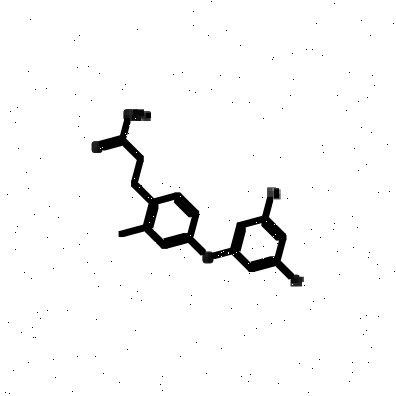 CCc1cc(Br)cc(Oc2ccc(CCC(=O)OC)c(C)c2)c1